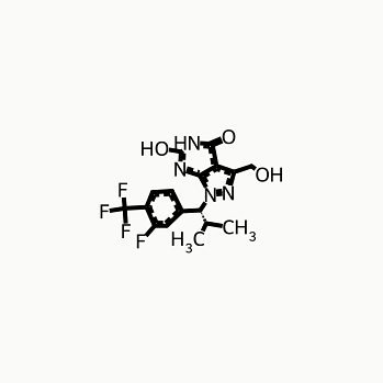 CC(C)[C@H](c1ccc(C(F)(F)F)c(F)c1)n1nc(CO)c2c(=O)[nH]c(O)nc21